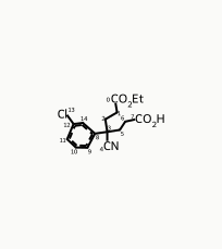 CCOC(=O)CCC(C#N)(CCC(=O)O)c1cccc(Cl)c1